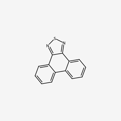 c1ccc2c(c1)c1ccccc1c1nsnc21